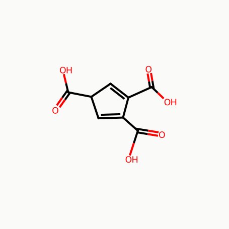 O=C(O)C1=CC(C(=O)O)C=C1C(=O)O